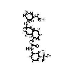 O=C(Nc1cccc(C(F)(F)F)c1)Oc1cccc2cc(Oc3cc(CO)ncn3)ccc12